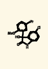 COc1ccc(C(C)C)cc1C1(O)C(=O)Nc2ccc(Cl)cc21